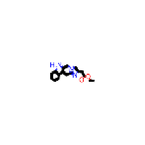 CCOC(=O)Cc1cn2cc(N)c(-c3ccccc3)cc2n1